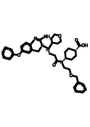 NC1=Nc2ccc(Oc3ccccc3)cc2CN1[C@@H](CCC(=O)N(CCOCc1ccccc1)[C@H]1CC[C@@H](C(=O)O)CC1)C1CCOCC1